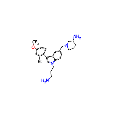 CCc1cc(OC(F)(F)F)ccc1-c1cn(CCCN)c2ccc(CN3CCCC(N)C3)cc12